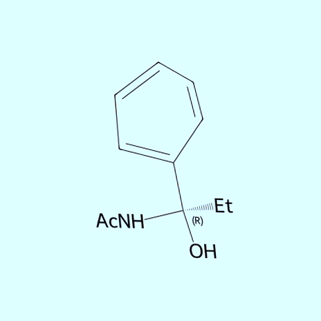 CC[C@](O)(NC(C)=O)c1ccccc1